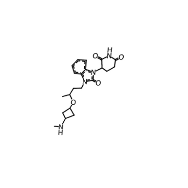 CNC1CC(OC(C)CCn2c(=O)n(C3CCC(=O)NC3=O)c3ccccc32)C1